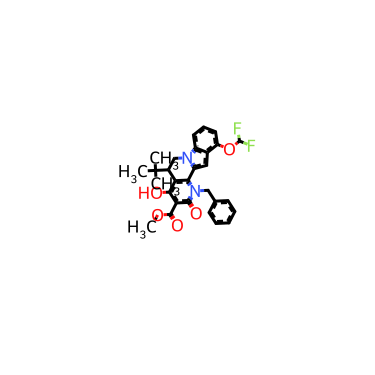 COC(=O)c1c(O)c2c(n(Cc3ccccc3)c1=O)-c1cc3c(OC(F)F)cccc3n1CC2C(C)(C)C